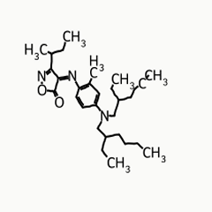 CCCCC(CC)CN(CC(CC)CCCC)c1ccc(N=C2C(=O)ON=C2C(C)CC)c(C)c1